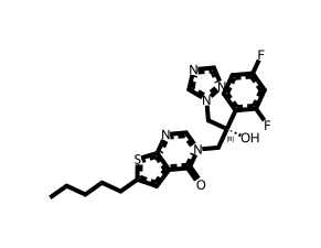 CCCCCc1cc2c(=O)n(C[C@@](O)(Cn3cncn3)c3ccc(F)cc3F)cnc2s1